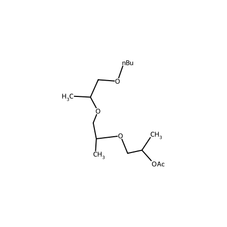 CCCCOCC(C)OCC(C)OCC(C)OC(C)=O